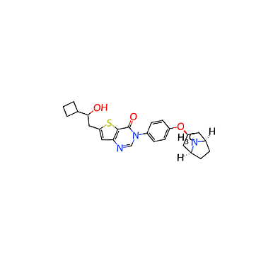 CN1[C@@H]2CC[C@H]1C[C@@H](Oc1ccc(-n3cnc4cc(CC(O)C5CCC5)sc4c3=O)cc1)C2